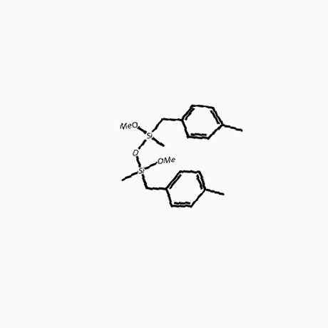 CO[Si](C)(Cc1ccc(C)cc1)O[Si](C)(Cc1ccc(C)cc1)OC